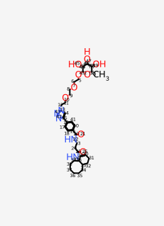 C[C@@H]1OC(OCCOCCOCCn2cc(-c3ccc(C(=O)NCCC(=O)NC45C=CCCC4CCCCCC5)cc3)nn2)[C@@H](O)[C@H](O)[C@@H]1O